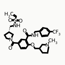 C=CS(=O)(=O)NC[C@H]1CCN(C(=O)c2ccc(OCC3CCCN(C)C3)c(C(=O)NCc3ccc(C(F)(F)F)cc3)c2)C1